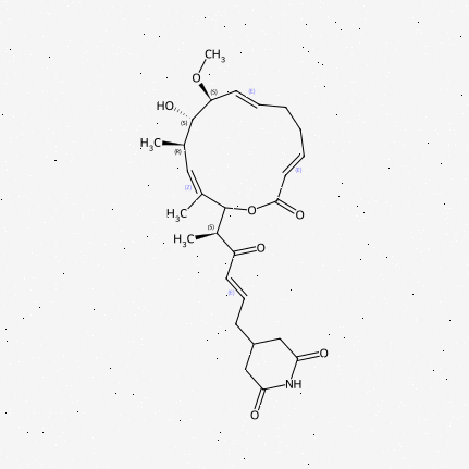 CO[C@H]1/C=C/CC/C=C/C(=O)OC([C@H](C)C(=O)/C=C/CC2CC(=O)NC(=O)C2)/C(C)=C\[C@@H](C)[C@@H]1O